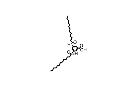 CCCCCCCCCCCCC(=O)Nc1cc(NC(=O)CCCCCCCCCCCC)cc(C(=O)O)c1